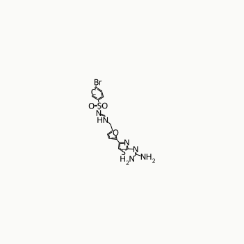 NC(N)=Nc1nc(-c2ccc(CN/C=N/S(=O)(=O)c3ccc(Br)cc3)o2)cs1